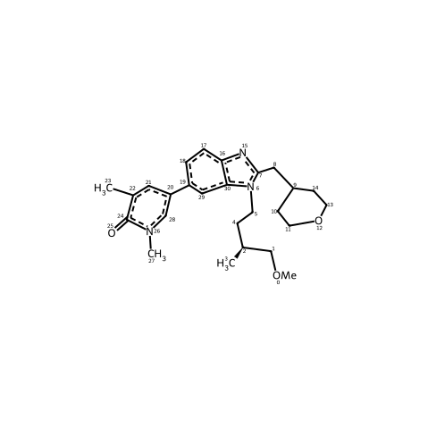 COC[C@@H](C)CCn1c(CC2CCOCC2)nc2ccc(-c3cc(C)c(=O)n(C)c3)cc21